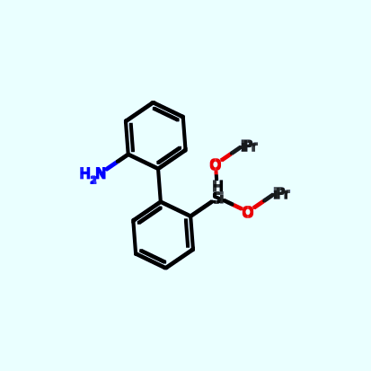 CC(C)O[SiH](OC(C)C)c1ccccc1-c1ccccc1N